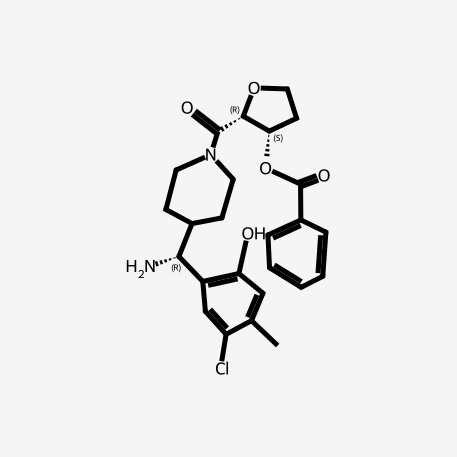 Cc1cc(O)c([C@H](N)C2CCN(C(=O)[C@@H]3OCC[C@@H]3OC(=O)c3ccccc3)CC2)cc1Cl